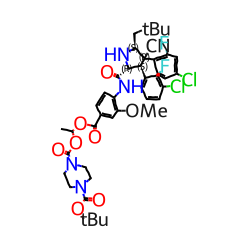 COc1cc(C(=O)OC(C)OC(=O)N2CCN(C(=O)OC(C)(C)C)CC2)ccc1NC(=O)[C@@H]1N[C@@H](CC(C)(C)C)[C@](C#N)(c2ccc(Cl)cc2F)[C@H]1c1cccc(Cl)c1F